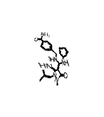 CC(C)CN1C(=N)/C(=C(\NCc2ccc(C(N)=O)cc2)Nc2ccccc2)C(=O)N1C